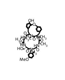 COc1ccc(C[C@H]2C(=O)N[C@@H](C)C(=O)N(C)[C@H]3Cc4ccc(cc4)Oc4cc(ccc4O)C[C@@H](C(=O)N[C@H](C)C(=O)N[C@@H](CO)C(=O)N2C)N(C)C3=O)cc1